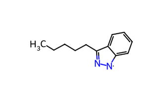 CCCCCC1=N[N]c2ccccc21